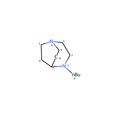 CCCCN1CCN2CCC1CC2